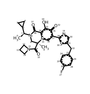 C[C@@H](C1CC1)N1C[C@](C)(C(=O)N2CCC2)n2cc(-c3ncc(Cc4ccc(F)cc4)s3)c(=O)c(O)c2C1=O